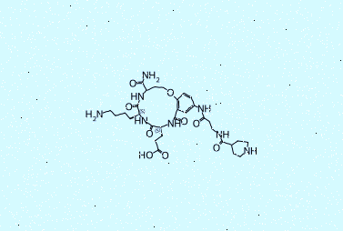 NCCCC[C@@H]1NC(=O)[C@H](CCC(=O)O)NC(=O)c2cc(NC(=O)CCNC(=O)C3CCNCC3)ccc2OCCC(C(N)=O)NC1=O